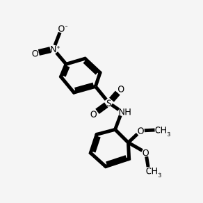 COC1(OC)C=CC=CC1NS(=O)(=O)c1ccc([N+](=O)[O-])cc1